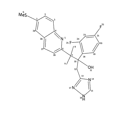 CSc1ccc2nc(C(C)(C)C(O)(Cc3nc[nH]n3)c3ccc(F)cc3F)ccc2c1